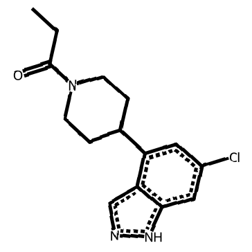 CCC(=O)N1CCC(c2cc(Cl)cc3[nH]ncc23)CC1